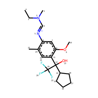 CCN(C)/C=N/c1cc(OC)c(C(O)(C2CCCC2)C(F)(F)F)cc1C